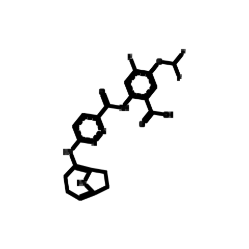 O=C(Nc1cc(F)c(OC(F)F)cc1C(=O)O)c1ccc(NC2=C3CCC(=CCC2)N3)nn1